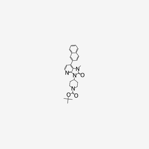 Cn1c(=O)n(C2CCN(C(=O)OC(C)(C)C)CC2)c2nccc(-c3ccc4ccccc4c3)c21